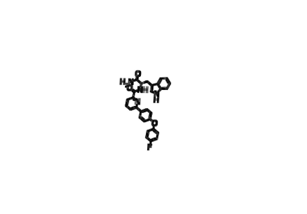 NC(=O)[C@@H](Cc1c[nH]c2ccccc12)NC(=O)c1cccc(-c2ccc(Oc3ccc(F)cc3)cc2)n1